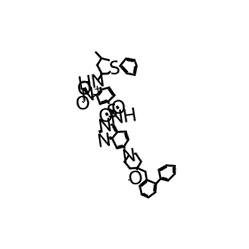 COC1(Cc2ccccc2-c2ccccc2)CCN(c2ccc3c(NS(=O)(=O)c4ccc(NC(CSc5ccccc5)CC(C)C)c([N+](=O)[O-])c4)ncnc3c2)CC1